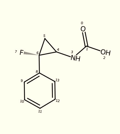 O=C(O)NC1C[C@]1(F)c1ccccc1